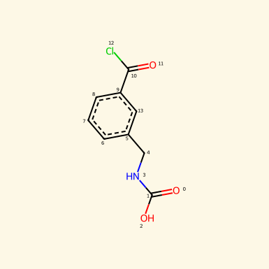 O=C(O)NCc1cccc(C(=O)Cl)c1